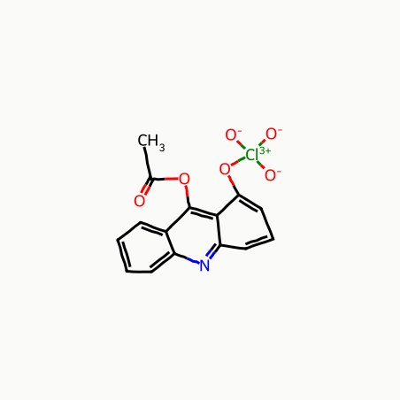 CC(=O)Oc1c2ccccc2nc2cccc(O[Cl+3]([O-])([O-])[O-])c12